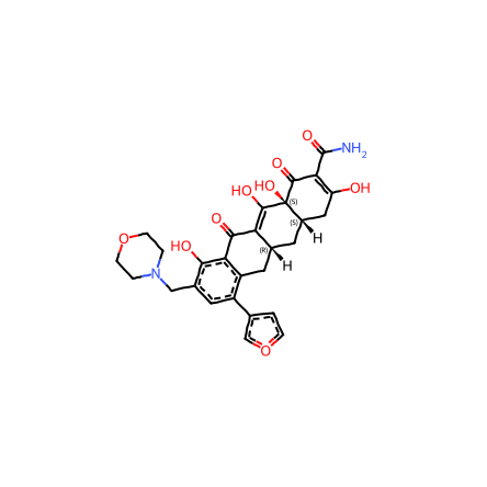 NC(=O)C1=C(O)C[C@@H]2C[C@@H]3Cc4c(-c5ccoc5)cc(CN5CCOCC5)c(O)c4C(=O)C3=C(O)[C@]2(O)C1=O